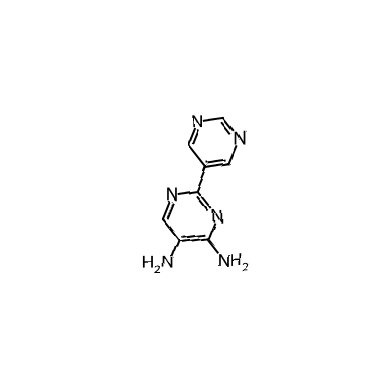 Nc1cnc(-c2cncnc2)nc1N